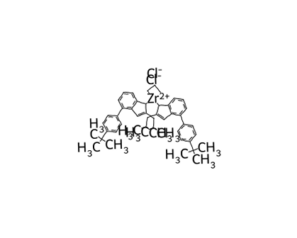 CC(C)CC1=Cc2c(-c3ccc(C(C)(C)C)cc3)cccc2[CH]1[Zr+2]1([CH]2C(CC(C)C)=Cc3c(-c4ccc(C(C)(C)C)cc4)cccc32)[CH2]C[CH2]1.[Cl-].[Cl-]